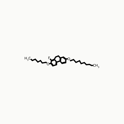 CCCCCCCCCCOc1ccc2c(c1)CCc1c-2ccc(OCCCCCCC)c1F